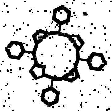 C1=Cc2nc1c(-c1ccncc1)c1ccc([nH]1)c(-c1ccncc1)c1nc(c(-c3ccncc3)c3ccc([nH]3)c2-c2ccncc2)C=C1.[Ni]